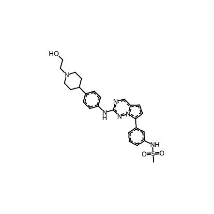 CS(=O)(=O)Nc1cccc(-c2ccc3cnc(Nc4ccc(C5CCN(CCO)CC5)cc4)nn23)c1